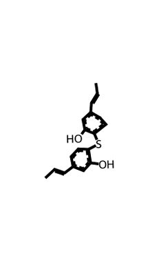 CC=Cc1ccc(Sc2ccc(C=CC)cc2O)c(O)c1